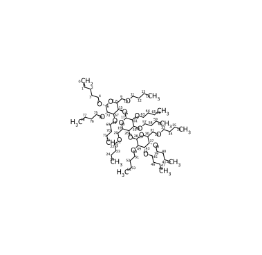 C=CCCCO[C@@H]1OC(COCCCC)[C@@H](O[C@@H]2OC(COCCCC)[C@H](O[C@H]3OC(COCCCC)[C@H](OCCCC)[C@H](OCCCC)C3OCCCC)C(OCCCC)[C@@H]2OCCCC)C(OCCCC)[C@@H]1OCCCC